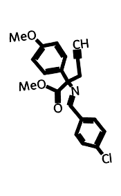 C#CCC(N=Cc1ccc(Cl)cc1)(C(=O)OC)c1ccc(OC)cc1